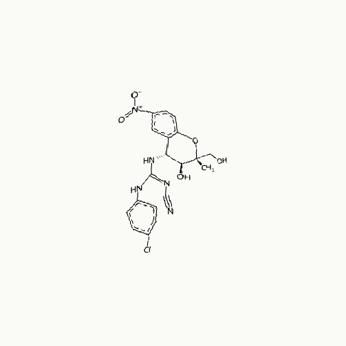 C[C@]1(CO)Oc2ccc([N+](=O)[O-])cc2[C@@H](NC(=NC#N)Nc2ccc(Cl)cc2)[C@@H]1O